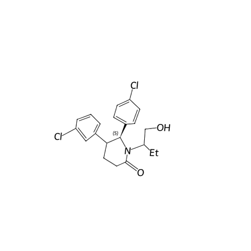 CCC(CO)N1C(=O)CCC(c2cccc(Cl)c2)[C@H]1c1ccc(Cl)cc1